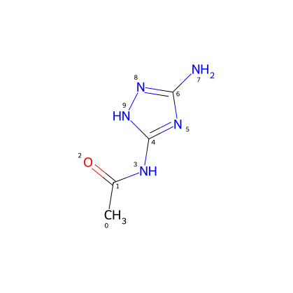 CC(=O)Nc1nc(N)n[nH]1